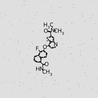 CNC(=O)c1cccc2c(F)c(Oc3ccnc4cc(C(=O)N(C)C)sc34)ccc12